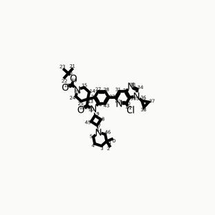 CC1(C)CCCN([C@H]2C[C@@H](N3C(=O)C4(CCN(C(=O)OC(C)(C)C)CC4)c4ccc(-c5cc6ncn(C7CC7)c6c(Cl)n5)cc43)C2)C1